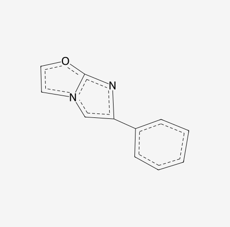 c1ccc(-c2cn3ccoc3n2)cc1